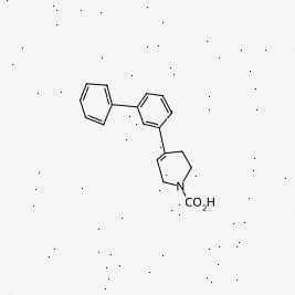 O=C(O)N1CC=C(c2cccc(-c3ccccc3)c2)CC1